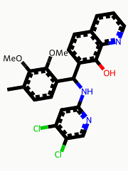 COc1c(C)ccc(C(Nc2cc(Cl)c(Cl)cn2)c2ccc3cccnc3c2O)c1OC